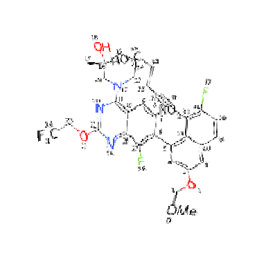 COCOc1cc(-c2c([N+](=O)[O-])cc3c(N4CCC[C@@](C)(O)C4)nc(OCC(F)(F)F)nc3c2F)c2c(C#C/C=C/C(=O)O)c(F)ccc2c1